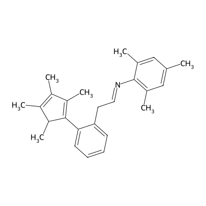 CC1=C(C)C(C)C(c2ccccc2CC=Nc2c(C)cc(C)cc2C)=C1C